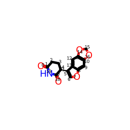 O=C1CC[C@@H](c2coc3cc4c(cc23)OCO4)C(=O)N1